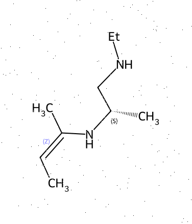 C/C=C(/C)N[C@@H](C)CNCC